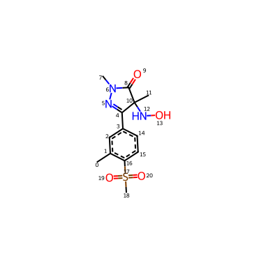 Cc1cc(C2=NN(C)C(=O)C2(C)NO)ccc1S(C)(=O)=O